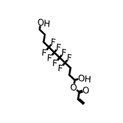 C=CC(=O)OC(O)CCC(F)(F)C(F)(F)C(F)(F)C(F)(F)CCCO